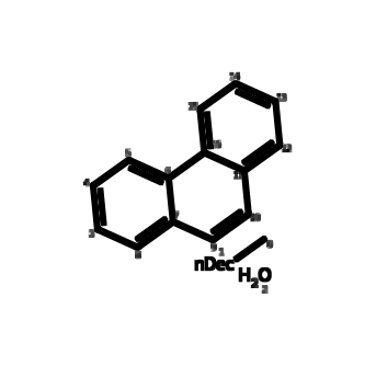 CCCCCCCCCCC.O.c1ccc2c(c1)ccc1ccccc12